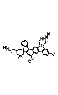 COc1ccc(-c2cc3c(N=O)cc4c(c3cc2OCN)-c2ccccc2C42CC(CN=[N+]=[N-])CC(C)(C)C2)c(OCN=[N+]=[N-])c1